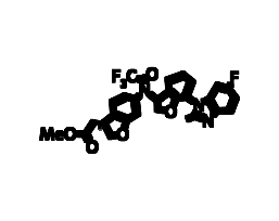 COC(=O)C[C@@H]1COc2cc(N(C(=O)C(F)(F)F)C3COc4c3cccc4-n3c(C)nc4ccc(F)cc43)ccc21